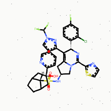 O=S(=O)(N[C@H]1CC2=C(c3ccn(C(F)F)n3)[C@H](c3ccc(F)cc3Cl)N=C(c3nccs3)N2C1)[C@H]1C2CCC1C[C@@](O)(c1ccccn1)C2